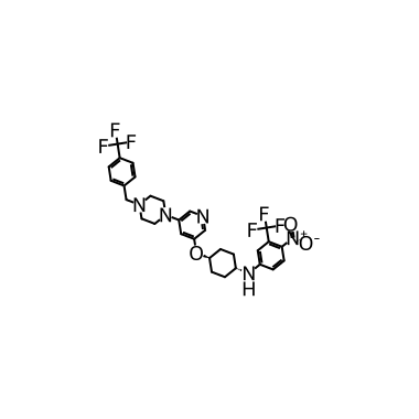 O=[N+]([O-])c1ccc(N[C@H]2CC[C@H](Oc3cncc(N4CCN(Cc5ccc(C(F)(F)F)cc5)CC4)c3)CC2)cc1C(F)(F)F